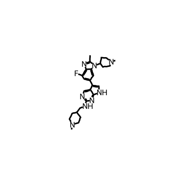 Cc1nc2c(F)cc(-c3c[nH]c4nc(NCC5CCN(C)CC5)ncc34)cc2n1C1CCN(C)CC1